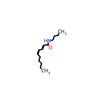 CCCCC/C=C\C=C\C(=O)NCCCC